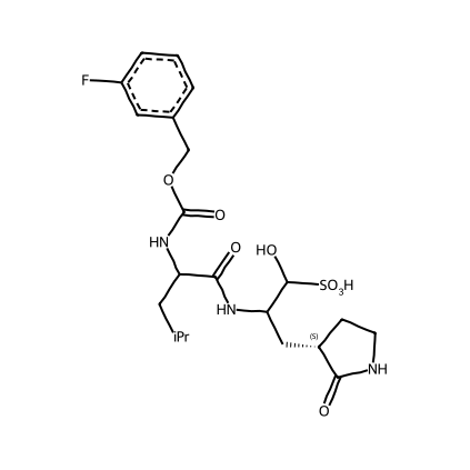 CC(C)CC(NC(=O)OCc1cccc(F)c1)C(=O)NC(C[C@@H]1CCNC1=O)C(O)S(=O)(=O)O